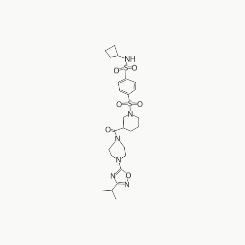 CC(C)c1noc(N2CCN(C(=O)C3CCCN(S(=O)(=O)c4ccc(S(=O)(=O)NC5CCC5)cc4)C3)CC2)n1